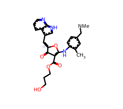 CNCc1ccc(NC2=C(C(=O)OCCCO)C(=O)/C(=C/c3c[nH]c4ncccc34)O2)c(C)c1